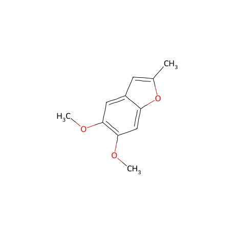 COc1cc2cc(C)oc2cc1OC